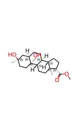 COC(=O)[C@H]1CC[C@H]2[C@@H]3CC[C@@H]4C[C@](C)(O)CC[C@]4(CO)[C@H]3CC[C@]12C